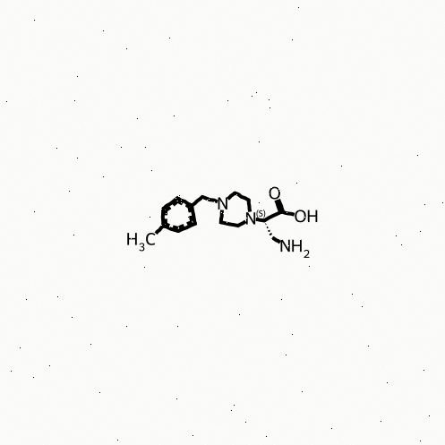 Cc1ccc(CN2CCN([C@@H](CN)C(=O)O)CC2)cc1